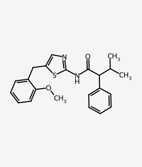 COc1ccccc1Cc1cnc(NC(=O)C(c2ccccc2)C(C)C)s1